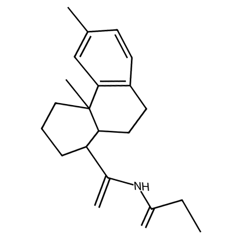 C=C(CC)NC(=C)C1CCCC2(C)c3cc(C)ccc3CCC12